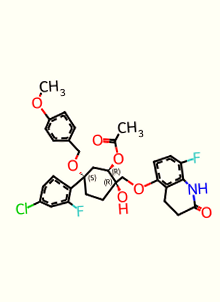 COc1ccc(CO[C@@]2(c3ccc(Cl)cc3F)CC[C@@](O)(COc3ccc(F)c4c3CCC(=O)N4)[C@H](OC(C)=O)C2)cc1